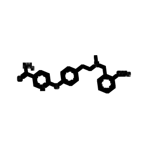 COc1ccccc1CN(C)CCc1ccc(Oc2ccc(C(N)=O)cn2)cc1